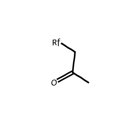 CC(=O)[CH2][Rf]